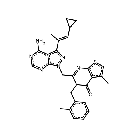 C/C(=C\C1CC1)c1nn(CC2=Nc3scc(C)c3C(=O)C2Cc2ccccc2C)c2ncnc(N)c12